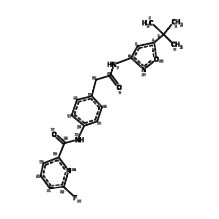 CC(C)(C)c1cc(NC(=O)Cc2ccc(NC(=O)c3cccc(F)n3)cc2)no1